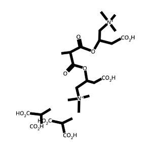 CC(C(=O)O)C(=O)O.CC(C(=O)O)C(=O)O.CC(C(=O)OC(CC(=O)O)C[N+](C)(C)C)C(=O)OC(CC(=O)O)C[N+](C)(C)C